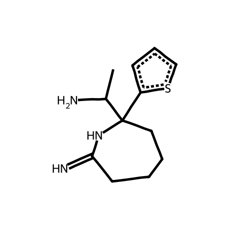 CC(N)C1(c2cccs2)CCCCC(=N)N1